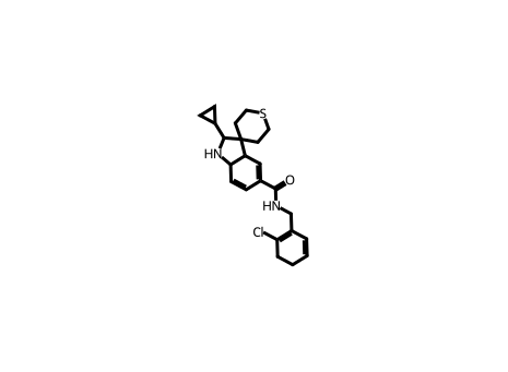 O=C(NCC1=C(Cl)CCC=C1)C1=CC2C(C=C1)NC(C1CC1)C21CCSCC1